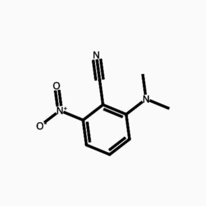 CN(C)c1cccc([N+](=O)[O-])c1C#N